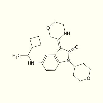 CC(Nc1ccc2c(c1)/C(=C1\COCCN1)C(=O)N2C1CCOCC1)C1CCC1